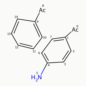 CC(=O)c1ccc(N)cc1.CC(=O)c1ccccc1